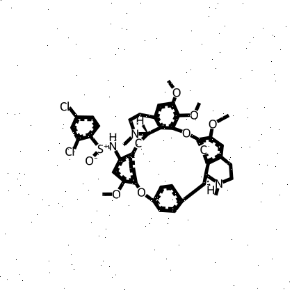 COc1cc(N[S+]([O-])c2ccc(Cl)cc2Cl)c2cc1Oc1ccc(cc1)C[C@H]1c3cc(c(OC)cc3CCN1C)Oc1c(OC)c(OC)cc3c1[C@H](C2)N(C)CC3